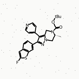 C[C@@H]1Cn2nc(-c3ccc4cc(F)sc4c3)c(-c3ccncc3)c2CN1C(=O)OC(C)(C)C